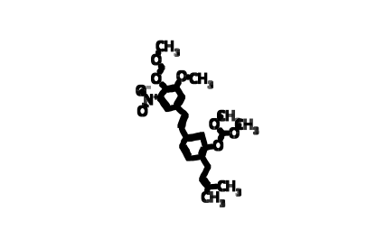 COCOc1c(OC)cc(C=Cc2ccc(CC=C(C)C)c(OC(OC)OC)c2)cc1[N+](=O)[O-]